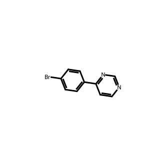 Brc1ccc(-c2ccncn2)cc1